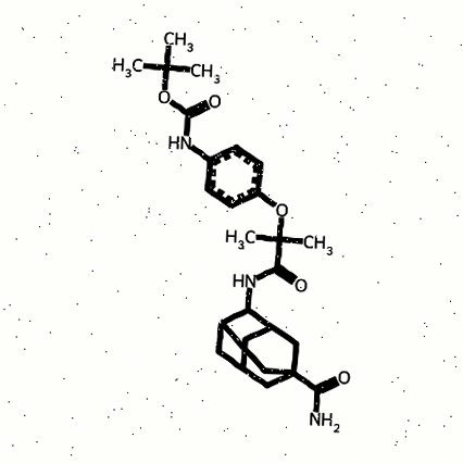 CC(C)(C)OC(=O)Nc1ccc(OC(C)(C)C(=O)NC2C3CC4CC2CC(C(N)=O)(C4)C3)cc1